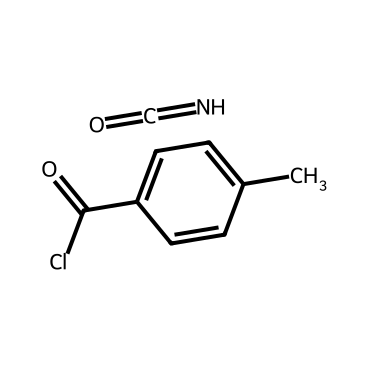 Cc1ccc(C(=O)Cl)cc1.N=C=O